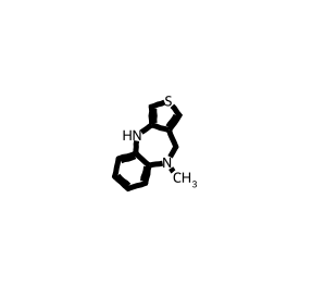 CN1Cc2cscc2Nc2ccccc21